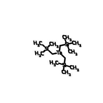 C[Si](C)(C)[CH2][Ta]([CH2][Si](C)(C)C)[CH2][Si](C)(C)C